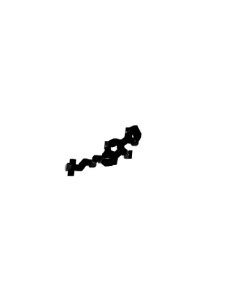 C[Si](C)(C)CCOCn1ccc2c(Cl)c(-c3ncco3)cnc21